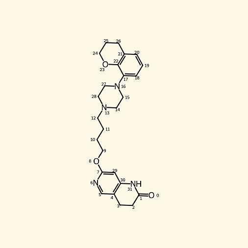 O=C1CCc2cnc(OCCCCN3CCN(c4cccc5c4OCCC5)CC3)cc2N1